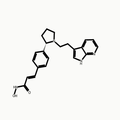 O=C(/C=C/c1ccc([C@@H]2CCCN2CCc2c[nH]c3ncccc23)cc1)NO